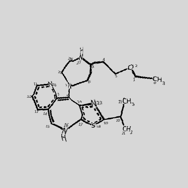 CCOCCC1CN(C2=c3ncccc3=CNc3sc(C(C)C)nc32)CCN1